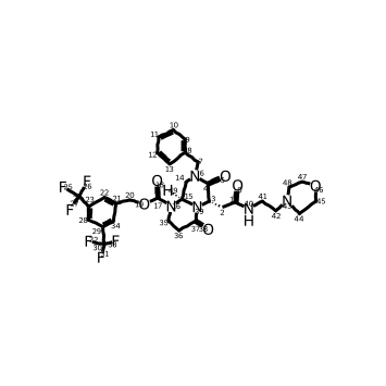 O=C(C[C@H]1C(=O)N(Cc2ccccc2)C[C@@H]2N(C(=O)OCc3cc(C(F)(F)F)cc(C(F)(F)F)c3)CCC(=O)N21)NCCN1CCOCC1